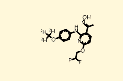 [2H]C([2H])([2H])Oc1ccc(Nc2nc(OCC(F)F)ccc2C(C)=NO)cc1